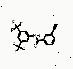 C#Cc1cccc(C(=O)Nc2cc(C(F)(F)F)cc(C(F)(F)F)c2)c1